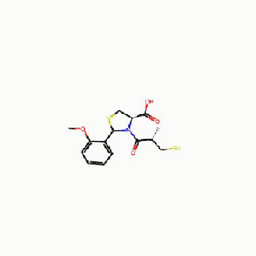 COc1ccccc1C1SC[C@@H](C(=O)O)N1C(=O)[C@H](C)CS